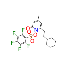 Cc1cc(CCC2CCCCC2)n(OS(=O)(=O)c2c(F)c(F)c(F)c(F)c2F)c(=O)c1